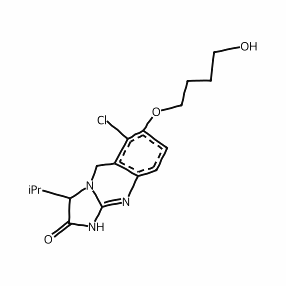 CC(C)C1C(=O)NC2=Nc3ccc(OCCCCO)c(Cl)c3CN21